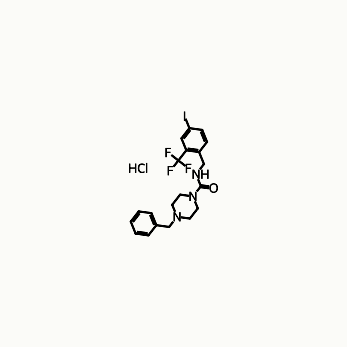 Cl.O=C(NCc1ccc(I)cc1C(F)(F)F)N1CCN(Cc2ccccc2)CC1